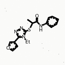 CCn1c(SC(C)C(=O)Nc2ccccc2)nnc1-c1ccoc1